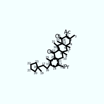 CC(=O)C1=C(C)CC2(C)CC3(C)Cc4c(C(C)C)cc(CCC5(C)CCCC5)c(C)c4C(=O)C3=C(C)C2(C)C1=O